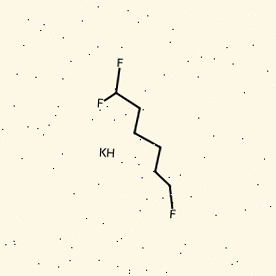 FCCCCCC(F)F.[KH]